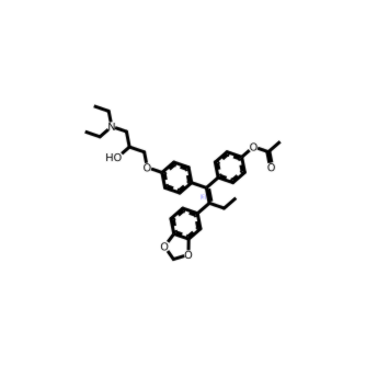 CC/C(=C(/c1ccc(OCC(O)CN(CC)CC)cc1)c1ccc(OC(C)=O)cc1)c1ccc2c(c1)OCO2